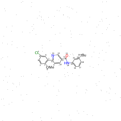 COc1ccc(Cl)cc1-c1ccc(C(=O)Nc2cccc(C(C)(C)C)c2)cn1